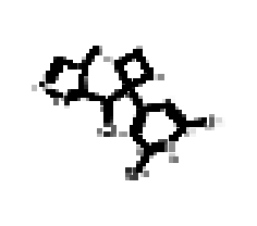 Cn1cnnc1C(Cl)C1(c2cc(Cl)nc(Cl)c2)CCC1